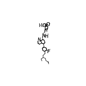 CCCCC(CC)CCc1ccc(-c2ccc(CNCCCO[PH](=O)O)c3ncccc23)cc1F